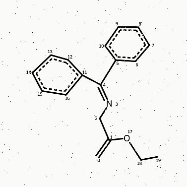 C=C(CN=C(c1ccccc1)c1ccccc1)OCC